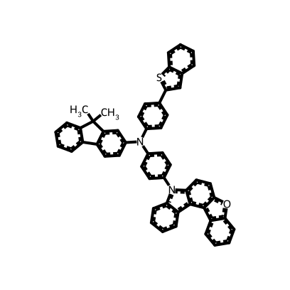 CC1(C)c2ccccc2-c2ccc(N(c3ccc(-c4cc5ccccc5s4)cc3)c3ccc(-n4c5ccccc5c5c6c(ccc54)oc4ccccc46)cc3)cc21